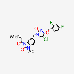 CNCC(=O)n1c(=O)n(C(C)=O)c2ccc(Cn3cc(Cl)c(OCc4ccc(F)cc4F)nc3=O)cc21